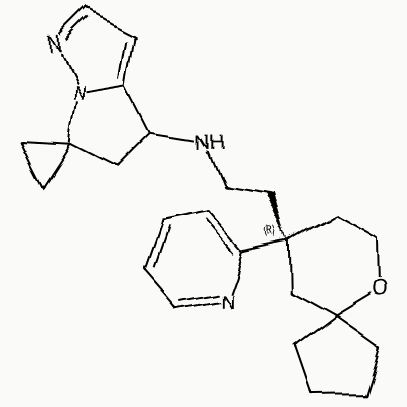 c1ccc([C@]2(CCNC3CC4(CC4)n4nccc43)CCOC3(CCCC3)C2)nc1